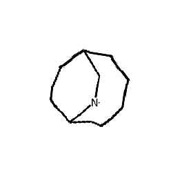 C1CCC2CCC(C1)C[N]2